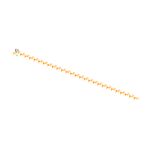 CCS(C)(#P)P=PP=PP=PP=PP=PP=PP=PP=PP=PP=PP=PP=PP=PP=PP=PP=PP=PP=PP=PP=PP=PP=PP=PP=PP=PP=P